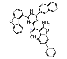 C/C=C(/C1=NC(c2ccc3ccccc3c2)NC(c2cccc3oc4ccccc4c23)=N1)c1c(N)oc2cc(-c3ccccc3)ccc12